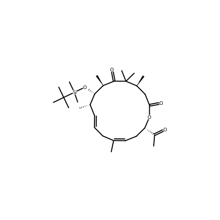 CC(=O)[C@@H]1C/C=C(/C)C/C=C/[C@H](C)[C@H](O[Si](C)(C)C(C)(C)C)[C@@H](C)C(=O)C(C)(C)[C@@H](C)CC(=O)O1